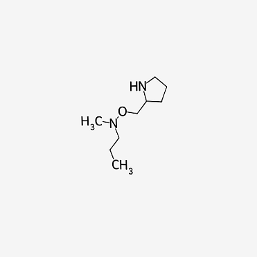 CCCN(C)OCC1CCCN1